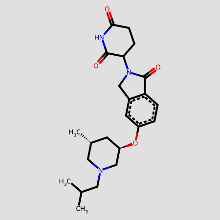 CC(C)CN1C[C@H](C)C[C@@H](Oc2ccc3c(c2)CN(C2CCC(=O)NC2=O)C3=O)C1